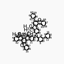 CC1(C)c2cc(N(c3cccc(-c4ccccc4)c3)c3ccc4c(c3)C(C)(C)c3c5c(c6oc7ccccc7c6c3-4)-c3ccccc3C5(C)C)ccc2-c2c1cc(-c1ccccc1)c1oc3ccccc3c21